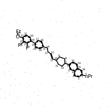 CCCc1ccc2cc(C3CCC(/C=C/CCc4ccc(-c5ccc(OCC)c(F)c5F)cc4)CC3)ccc2c1